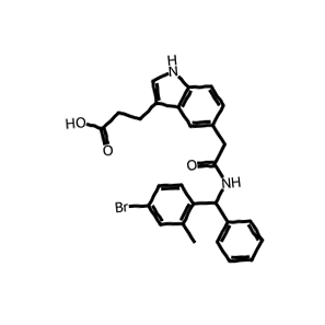 Cc1cc(Br)ccc1C(NC(=O)Cc1ccc2[nH]cc(CCC(=O)O)c2c1)c1ccccc1